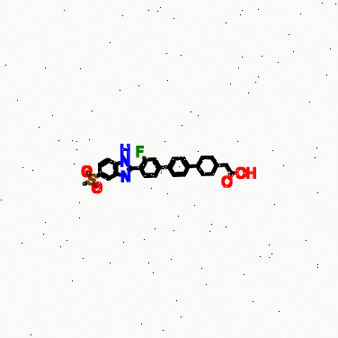 CS(=O)(=O)c1ccc2[nH]c(-c3ccc(-c4ccc(C5CCC(CC(=O)O)CC5)cc4)cc3F)nc2c1